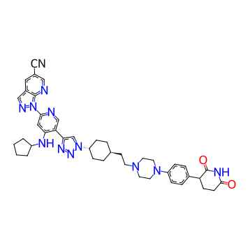 N#Cc1cnc2c(cnn2-c2cc(NC3CCCC3)c(-c3cn([C@H]4CC[C@H](CCN5CCN(c6ccc(C7CCC(=O)NC7=O)cc6)CC5)CC4)nn3)cn2)c1